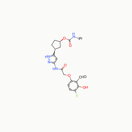 CC(C)NC(=O)O[C@@H]1CC[C@H](c2cc(NC(=O)COc3ccc(F)c(O)c3C=O)n[nH]2)C1